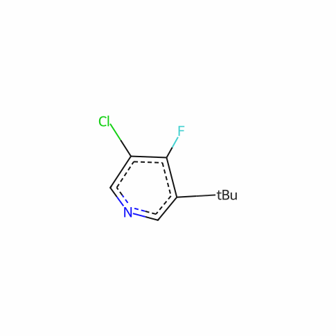 CC(C)(C)c1cncc(Cl)c1F